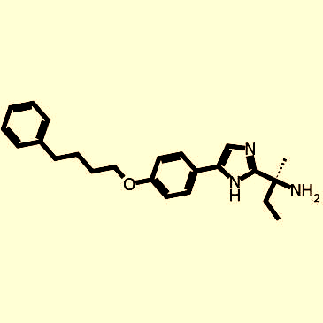 CC[C@](C)(N)c1ncc(-c2ccc(OCCCCc3ccccc3)cc2)[nH]1